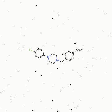 CSc1ccc(CN2CCN(c3ccc(F)cc3)CC2)cc1